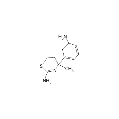 CC1(C2=CC=CC(N)C2)CCSC(N)=N1